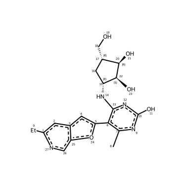 CCc1cc2cc(-c3c(C)nc(O)nc3N[C@@H]3C[C@H](CO)[C@@H](O)[C@H]3O)oc2cn1